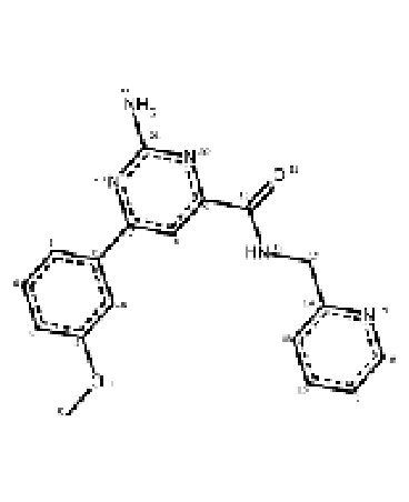 COc1cccc(-c2cc(C(=O)NCc3ccccn3)nc(N)n2)c1